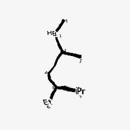 CBC(C)CC(CC)C(C)C